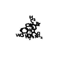 CC1=C(n2c(N)c(C(N)=O)c3cc(Br)c(C)nc32)[C@H](C)[C@H](O)C=C1